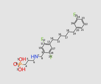 O=P(O)(O)CCCNCc1cc(F)c(CCCCCCc2cccc(F)c2)cc1F